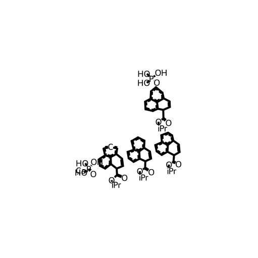 CC(C)OC(=O)C1C=Cc2cccc3cccc1c23.CC(C)OC(=O)C1C=Cc2cccc3cccc1c23.CC(C)OC(=O)C1C=Cc2cccc3cccc1c23.CC(C)OC(=O)C1C=Cc2cccc3cccc1c23.O=P(O)(O)O.O=P(O)(O)O.[Ca]